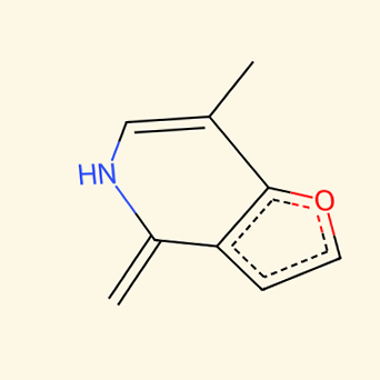 C=C1NC=C(C)c2occc21